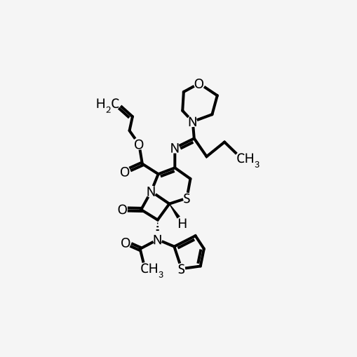 C=CCOC(=O)C1=C(/N=C(\CCC)N2CCOCC2)CS[C@@H]2[C@H](N(C(C)=O)c3cccs3)C(=O)N12